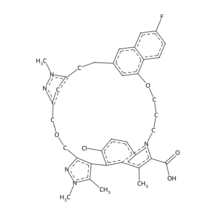 Cc1c(C(=O)O)n2c3ccc(Cl)c(c13)-c1c(nn(C)c1C)COCc1cc(n(C)n1)CCc1cc(c3ccc(F)cc3c1)OCCC2